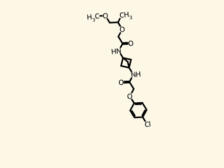 COCC(C)OCC(=O)NC12CC(NC(=O)COc3ccc(Cl)cc3)(C1)C2